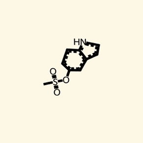 CS(=O)(=O)Oc1ccc2[nH]ccc2c1